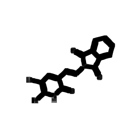 CCc1cc(/C=C/N2C(=O)c3ccccc3C2=O)c(=O)[nH]c1CC